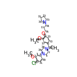 COc1cc(N2CCN(C(C)c3ccc(OCCCN4CCCC4)c(OC)c3)CC2)ccc1Cl